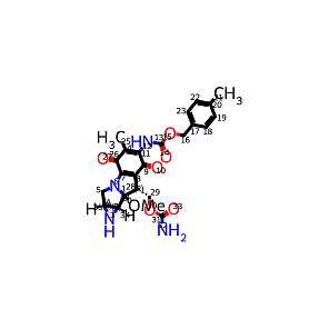 CO[C@@]12[C@@H]3N[C@@H]3CN1C1=C(C(=O)C(NC(=O)OCc3ccc(C)cc3)=C(C)C1=O)[C@@H]2COC(N)=O